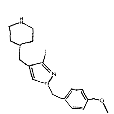 COc1ccc(Cn2cc(CC3CCNCC3)c(I)n2)cc1